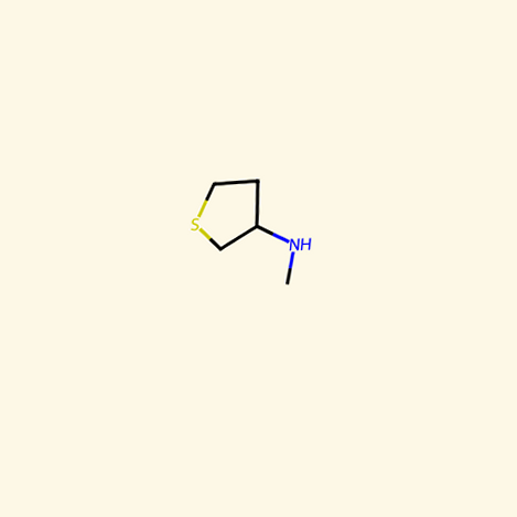 CNC1CCSC1